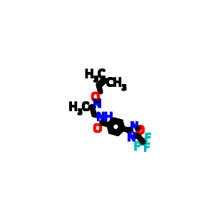 CC(C)=CCON=C(C)CNC(=O)c1ccc(-c2noc(C(F)(F)F)n2)cc1